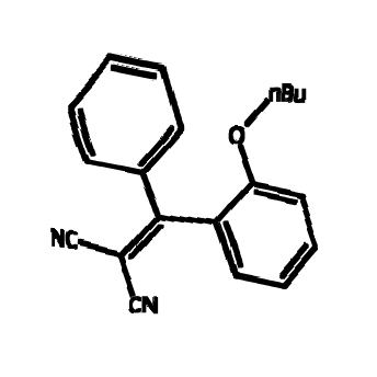 CCCCOc1ccccc1C(=C(C#N)C#N)c1ccccc1